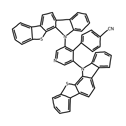 N#Cc1ccc(-c2c(-n3c4ccccc4c4ccc5c6ccccc6sc5c43)cncc2-n2c3ccccc3c3ccc4c5ccccc5sc4c32)cc1